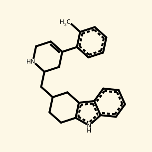 Cc1ccccc1C1=CCNC(CC2CCc3[nH]c4ccccc4c3C2)C1